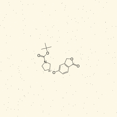 CC(C)(C)OC(=O)N1CC[C@@H](Oc2ccc3c(c2)COC3=O)C1